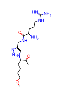 COCCCCC(C(C)=O)n1cc(CNC(=O)C(N)CCCNC(=N)N)nn1